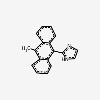 Cc1c2ccccc2c(-c2ncc[nH]2)c2ccccc12